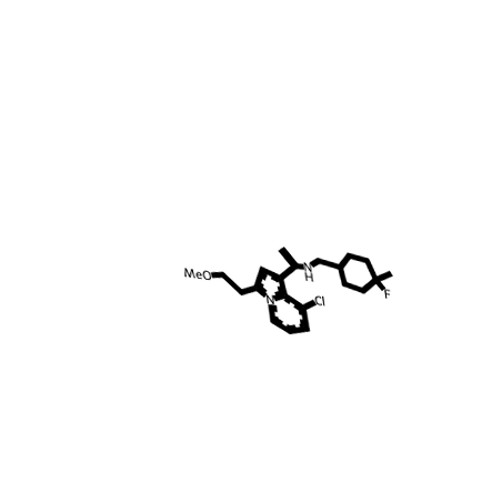 C=C(NCC1CCC(C)(F)CC1)c1cc(CCOC)n2cccc(Cl)c12